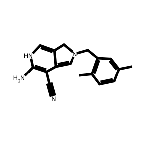 Cc1ccc(C)c(CN2C=C3C(=CNC(N)=C3C#N)C2)c1